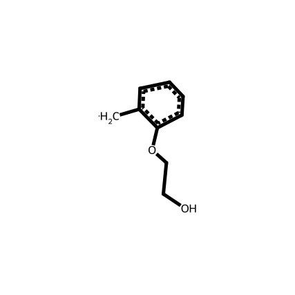 [CH2]c1ccccc1OCCO